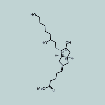 COC(=O)CCCC=C1C[C@@H]2C[C@H](O)[C@@H](CCC(O)CCCCCO)[C@@H]2C1